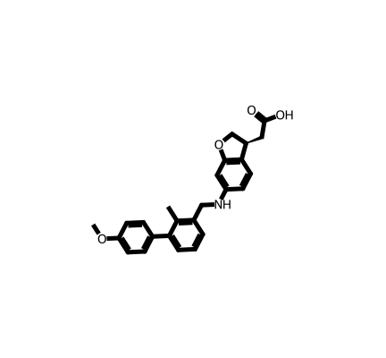 COc1ccc(-c2cccc(CNc3ccc4c(c3)OC[C@H]4CC(=O)O)c2C)cc1